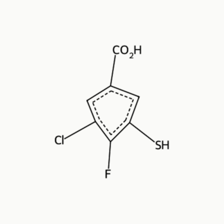 O=C(O)c1cc(S)c(F)c(Cl)c1